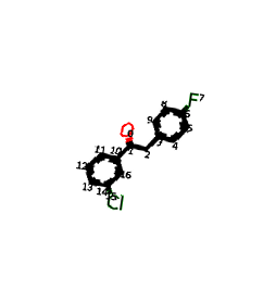 O=C(Cc1ccc(F)cc1)c1cccc(Cl)c1